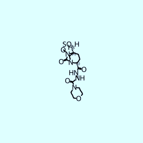 O=C(NNC(=O)N1CCOCC1)[C@@H]1CC[C@@H]2CN1C(=O)N2OS(=O)(=O)O